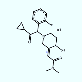 CN(C)C(=O)/C=C1/CN(C(C(=O)C2CC2)c2ccccc2F)CCC1S.Cl